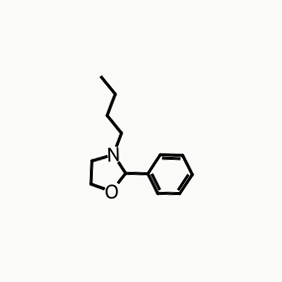 CCCCN1CCOC1c1ccccc1